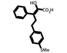 CSc1ccc(CC/C(=C(/O)C(=O)O)c2ccccc2)cc1